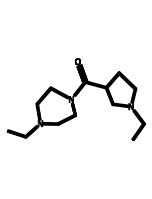 CCN1CCN(C(=O)C2CCN(CC)C2)CC1